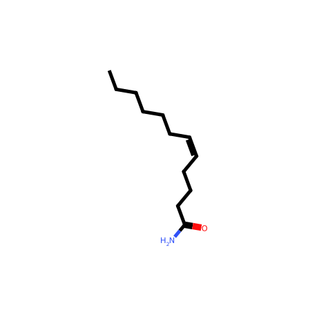 CCCCCC/C=C\CCCC(N)=O